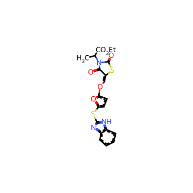 CCOC(=O)C(C)N1C(=O)S/C(=C/Oc2ccc(Sc3nc4ccccc4[nH]3)o2)C1=O